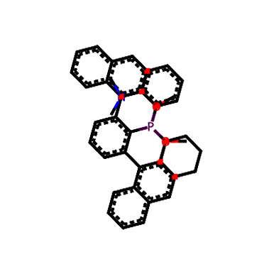 COc1ccc2ccccc2c1-c1cccc(-c2c(OC)ccc3ccccc23)c1P(c1ccccc1N(C)C)C1CCCCC1